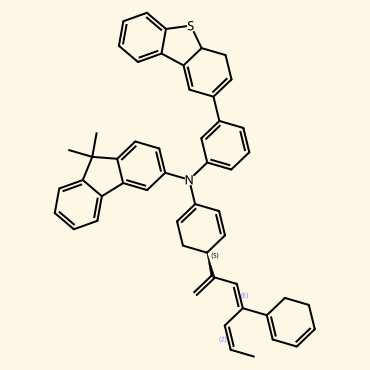 C=C(/C=C(\C=C/C)C1=CC=CCC1)[C@@H]1C=CC(N(c2cccc(C3=CCC4Sc5ccccc5C4=C3)c2)c2ccc3c(c2)-c2ccccc2C3(C)C)=CC1